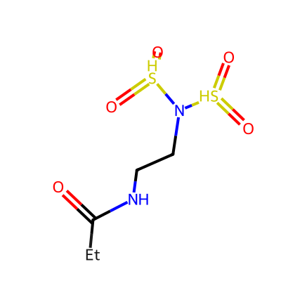 CCC(=O)NCCN([SH](=O)=O)[SH](=O)=O